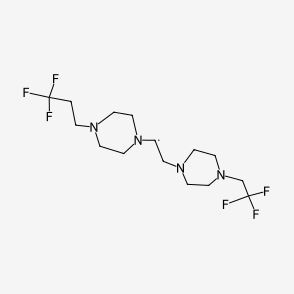 FC(F)(F)CCN1CCN([CH]CN2CCN(CC(F)(F)F)CC2)CC1